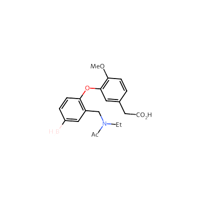 Bc1ccc(Oc2cc(CC(=O)O)ccc2OC)c(CN(CC)C(C)=O)c1